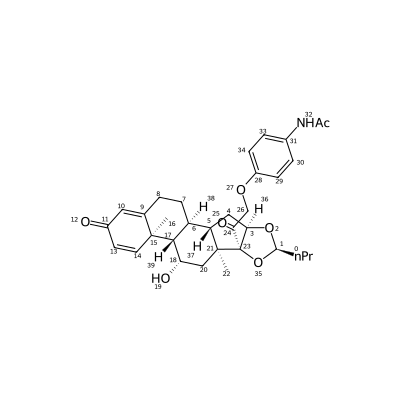 CCC[C@@H]1O[C@@H]2C[C@H]3[C@@H]4CCC5=CC(=O)C=C[C@]5(C)[C@H]4[C@@H](O)C[C@]3(C)[C@]2(C(=O)COc2ccc(NC(C)=O)cc2)O1